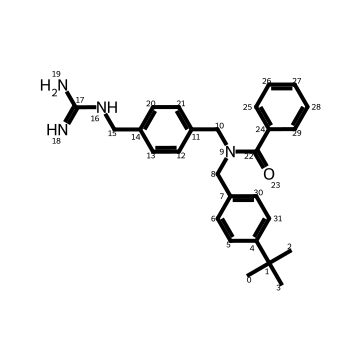 CC(C)(C)c1ccc(CN(Cc2ccc(CNC(=N)N)cc2)C(=O)c2ccccc2)cc1